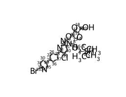 C[SH](C)(C)(C)CCOCn1c(O[C@@H]2COC3C2OC[C@H]3O)nc2nc(-c3ccc(-c4ccc(Br)nc4)cc3)c(Cl)cc21